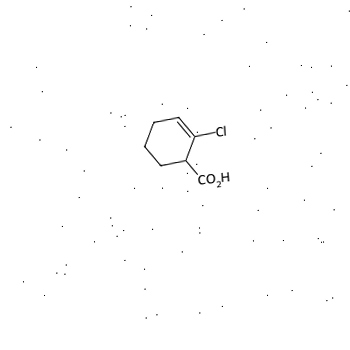 O=C(O)C1CCCC=C1Cl